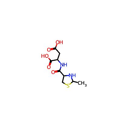 CC1NC(C(=O)NC(CC(=O)O)C(=O)O)CS1